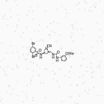 COc1cccc(NC(=O)NC[C@H]2C[C@@H](NS(=O)(=O)c3cc(Br)ccc3Br)CN2C#N)c1